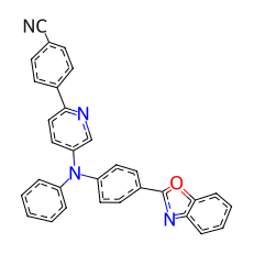 N#Cc1ccc(-c2ccc(N(c3ccccc3)c3ccc(-c4nc5ccccc5o4)cc3)cn2)cc1